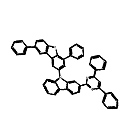 c1ccc(-c2ccc3sc4c(-c5ccccc5)cc(-n5c6ccccc6c6ccc(-c7nc(-c8ccccc8)cc(-c8ccccc8)n7)cc65)cc4c3c2)cc1